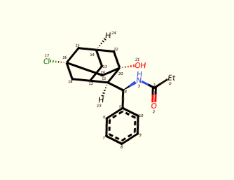 CCC(=O)N[C@@H](c1ccccc1)[C@H]1C2C[C@H]3C[C@](Cl)(C2)C[C@@]1(O)C3